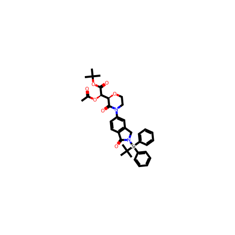 CC(=O)O[C@@H](C(=O)OC(C)(C)C)[C@H]1OCCN(c2ccc3c(c2)CN([Si](c2ccccc2)(c2ccccc2)C(C)(C)C)C3=O)C1=O